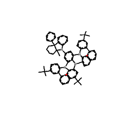 CC(C)(C)c1ccc2c(c1)B1c3ccccc3N(c3ccc(C(C)(C)C)cc3-c3ccccc3)c3cc(N4c5ccccc5C5(c6ccccc6)CCCCC45C)cc(c31)N2c1ccc(C(C)(C)C)cc1-c1ccccc1